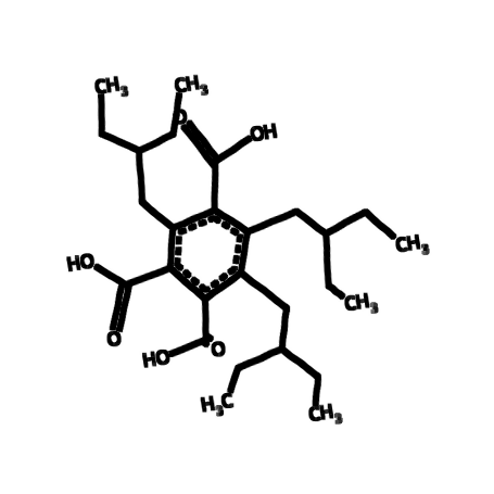 CCC(CC)Cc1c(CC(CC)CC)c(C(=O)O)c(C(=O)O)c(CC(CC)CC)c1C(=O)O